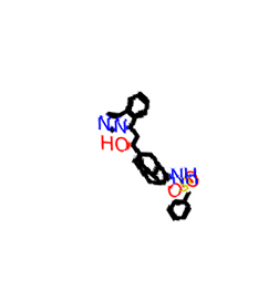 O=S(=O)(Cc1ccccc1)NC1C2CC3CC1CC(C(O)CC1c4ccccc4-c4cncn41)(C3)C2